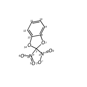 O=[N+]([O-])C1([N+](=O)[O-])Oc2ccccc2O1